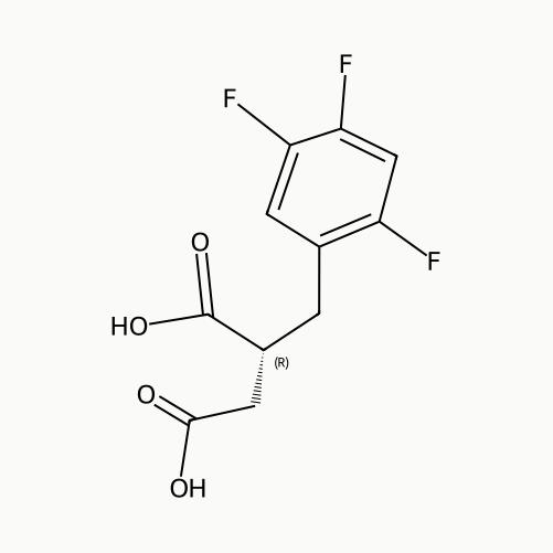 O=C(O)C[C@@H](Cc1cc(F)c(F)cc1F)C(=O)O